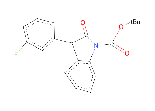 CC(C)(C)OC(=O)N1C(=O)C(c2cccc(F)c2)c2ccccc21